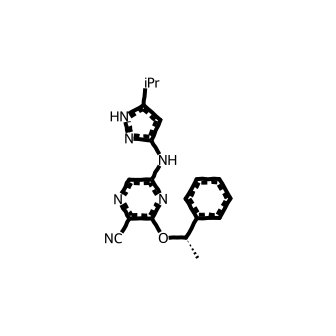 CC(C)c1cc(Nc2cnc(C#N)c(O[C@@H](C)c3ccccc3)n2)n[nH]1